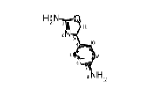 NC1=NC(c2ccc(N)cc2)CO1